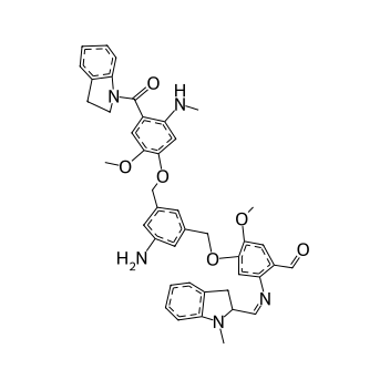 CNc1cc(OCc2cc(N)cc(COc3cc(/N=C\C4Cc5ccccc5N4C)c(C=O)cc3OC)c2)c(OC)cc1C(=O)N1CCc2ccccc21